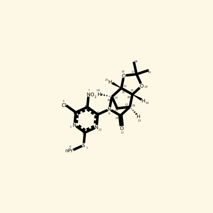 CCCSc1nc(Cl)c([N+](=O)[O-])c(N2C(=O)[C@H]3C[C@@H]2[C@@H]2OC(C)(C)O[C@@H]23)n1